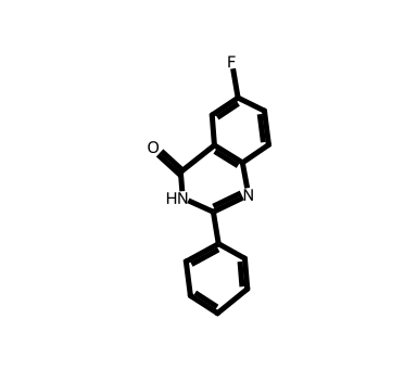 O=c1[nH]c(-c2ccccc2)nc2ccc(F)cc12